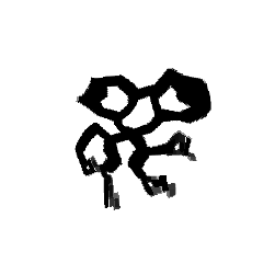 C/C=C\C(=C/C)C1(/C(C)=C/C)c2ccccc2-c2ccccc21